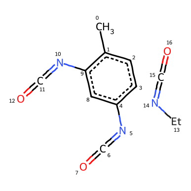 Cc1ccc(N=C=O)cc1N=C=O.[CH2]CN=C=O